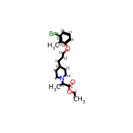 CCOC(=O)C(C)N1CCC(CCCOc2cccc(Br)c2C)CC1